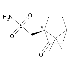 CC1(C)C2CC[C@@]1(CS(N)(=O)=O)C(=O)C2